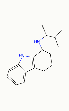 CC(C)[C@@H](C)NC1CCCc2c1[nH]c1ccccc21